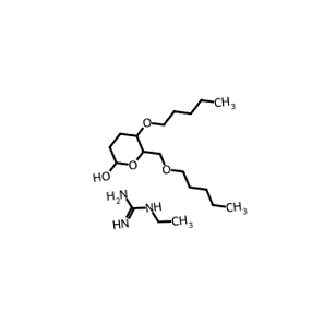 CCCCCOCC1OC(O)CCC1OCCCCC.CCNC(=N)N